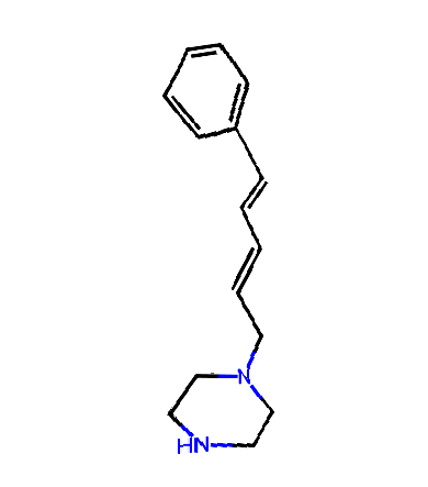 C(C=Cc1ccccc1)=CCN1CCNCC1